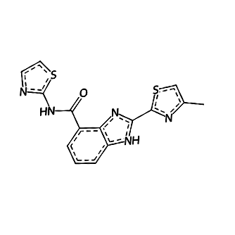 Cc1csc(-c2nc3c(C(=O)Nc4nccs4)cccc3[nH]2)n1